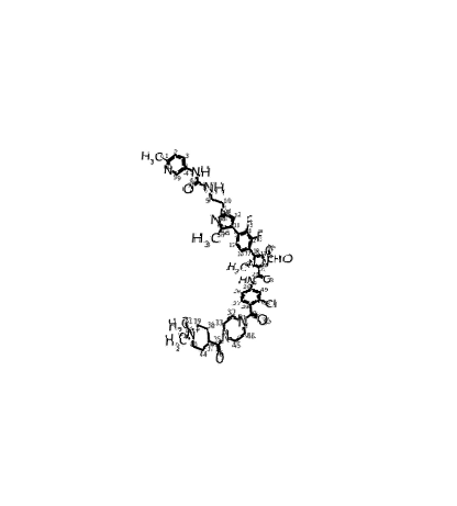 Cc1ccc(NC(=O)NCCn2cc(-c3ccc(-c4cnc(C(=O)Nc5ccc(C(=O)N6CCN(C(=O)C7CC[N+](C)(C)CC7)CC6)c(Cl)c5)n4C)c(F)c3F)c(C)n2)cn1.O=C[O-]